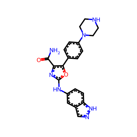 NC(=O)c1nc(Nc2ccc3[nH]ncc3c2)oc1-c1ccc(N2CCNCC2)cc1